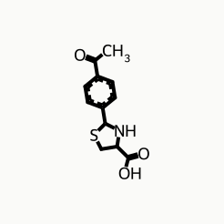 CC(=O)c1ccc(C2NC(C(=O)O)CS2)cc1